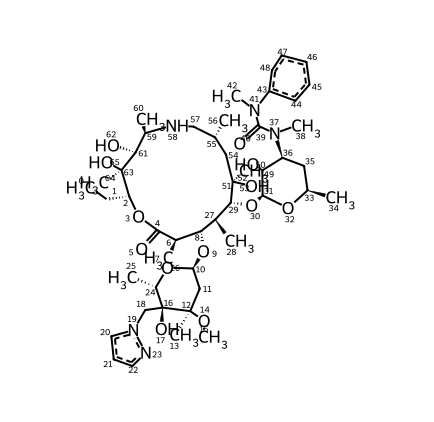 CC[C@H]1OC(=O)[C@H](C)[C@@H](O[C@H]2C[C@@](C)(OC)[C@](O)(Cn3cccn3)[C@H](C)O2)[C@H](C)[C@@H](O[C@@H]2O[C@H](C)C[C@H](N(C)C(=O)N(C)c3ccccc3)[C@H]2O)[C@](C)(O)C[C@@H](C)CN[C@H](C)[C@@H](O)[C@]1(C)O